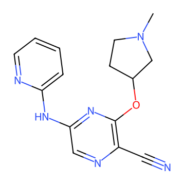 CN1CCC(Oc2nc(Nc3ccccn3)cnc2C#N)C1